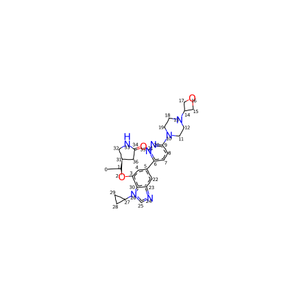 CC(Oc1cc(-c2ccc(N3CCN(C4COC4)CC3)nn2)cc2ncn(C3CC3)c12)[C@H]1CNC(=O)C1